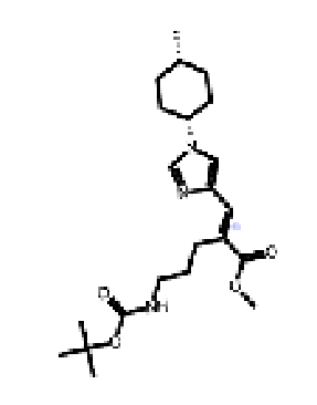 COC(=O)/C(=C/c1cn([C@H]2CC[C@@H](C)CC2)cn1)CCCNC(=O)OC(C)(C)C